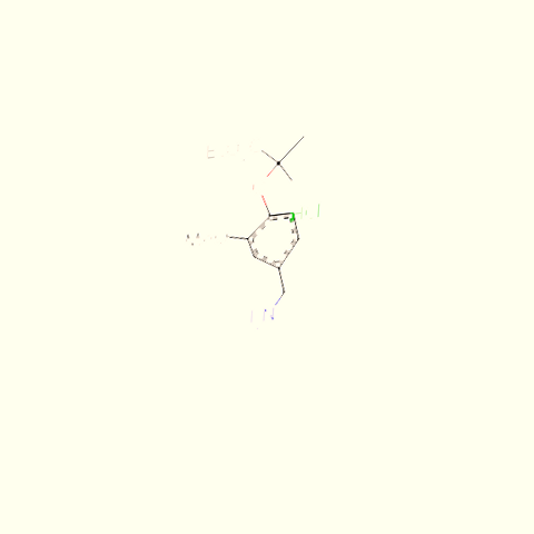 CCOC(=O)C(C)(C)Oc1ccc(CN)cc1OC.Cl